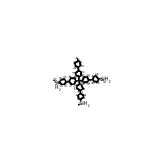 C[SiH2]c1ccc(-c2ccc(C(c3ccc(-c4ccc(C)cc4)cc3)(c3ccc(-c4ccc([SiH2]C)cc4)cc3)c3ccc(-c4ccc([SiH2]C)cc4)cc3)cc2)cc1